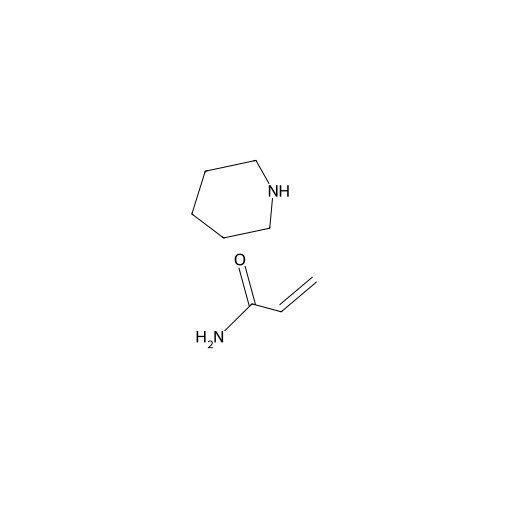 C1CCNCC1.C=CC(N)=O